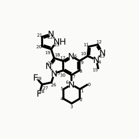 CC1CCCCN1c1cc(-c2ccnn2C)nc2c(-c3ccn[nH]3)nn(CC(F)F)c12